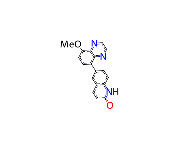 COc1ccc(-c2ccc3[nH]c(=O)ccc3c2)c2nccnc12